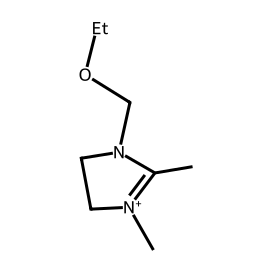 CCOCN1CC[N+](C)=C1C